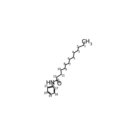 CCCCCCCCCCCCCC(=O)Nc1[c]cccc1